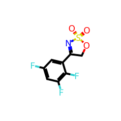 O=S1(=O)N=C(c2cc(F)cc(F)c2F)CO1